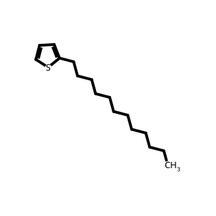 CCCCCCCCCCCCc1cccs1